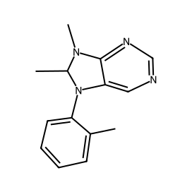 Cc1ccccc1N1c2cncnc2N(C)C1C